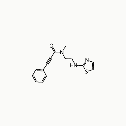 CN(CCNc1nccs1)C(=O)C#Cc1ccccc1